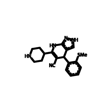 CSc1ccccc1C1C(C#N)=C(C2CCNCC2)Nc2n[nH]cc21